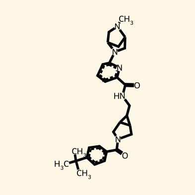 CN1CC2CC1CN2c1cc[c]c(C(=O)NCC2C3CN(C(=O)c4ccc(C(C)(C)C)cc4)CC23)n1